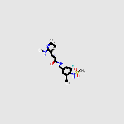 C#Cc1cc(CNC(=O)/C=C/c2ccc(C(F)(F)F)nc2NCC)cc(F)c1NS(C)(=O)=O